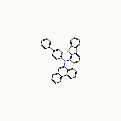 c1ccc(-c2ccc(N(c3cc4ccccc4c4ccccc34)c3cccc4c3oc3ccccc34)cc2)cc1